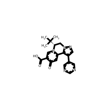 CC(C)(C)[C@@H]1Cn2ncc(-c3cncnc3)c2-c2cc(=O)c(C(=O)O)cn21